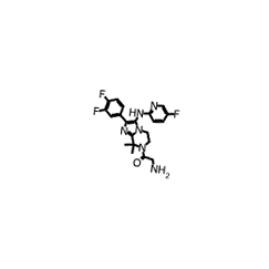 CC1(C)c2nc(-c3ccc(F)c(F)c3)c(Nc3ccc(F)cn3)n2CCN1C(=O)CN